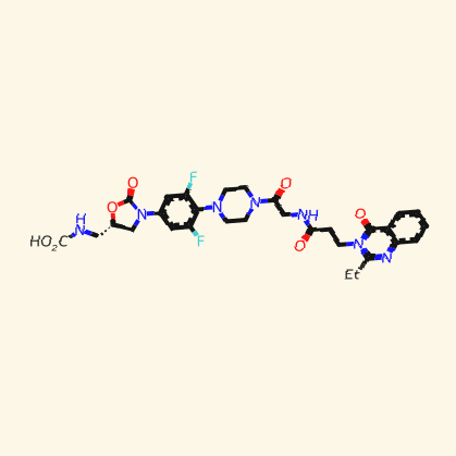 CCc1nc2ccccc2c(=O)n1CCC(=O)NCC(=O)N1CCN(c2c(F)cc(N3C[C@H](CNC(=O)O)OC3=O)cc2F)CC1